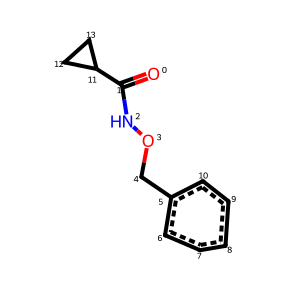 O=C(NOCc1ccccc1)C1CC1